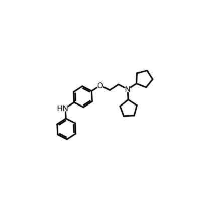 c1ccc(Nc2ccc(OCCN(C3CCCC3)C3CCCC3)cc2)cc1